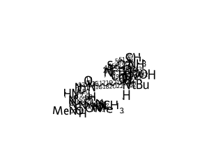 CNC(=O)c1nnc(Nc2ccc(C(=O)NCCCCCCCCC(=O)NC(C(=O)N3C[C@H](O)C[C@H]3C(=O)NC(C)c3ccc(-c4scnc4C)cc3)C(C)(C)C)cn2)cc1Nc1cccc(-c2ncn(C)n2)c1OC